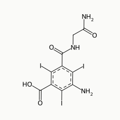 NC(=O)CNC(=O)c1c(I)c(N)c(I)c(C(=O)O)c1I